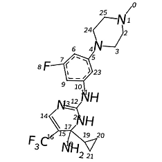 CN1CCN(c2cc(F)cc(NC3=NC=C(C(F)(F)F)C(N)(C4CC4)N3)c2)CC1